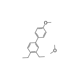 CCc1ccc(-c2ccc(OC)cc2)cc1CC.COC